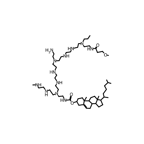 CCCN(CCNCCNCCN(CCN)CCNCCNCCN(CCNCCNC)CCNC(=O)OC1CCC2(C)C(=CCC3C2CCC2(C)C(C(C)CCCC(C)C)CCC32)C1)CCNC(=O)CCOC